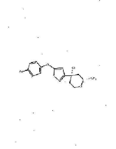 CC(=O)c1ccc(Sc2cc([C@]3(O)CCO[C@@H](C)C3)cs2)cc1